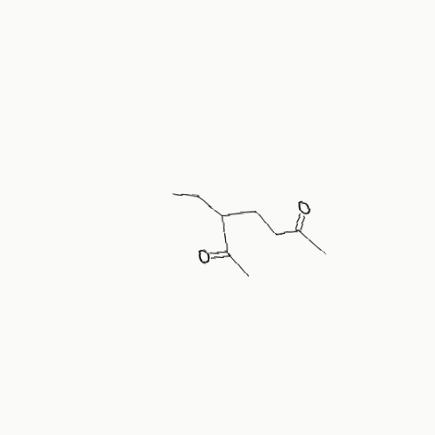 CCC(CCC(C)=O)C(C)=O